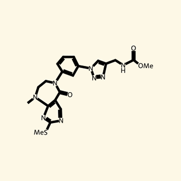 COC(=O)NCc1cn(-c2cccc(N3CCN(C)c4nc(SC)ncc4C3=O)c2)nn1